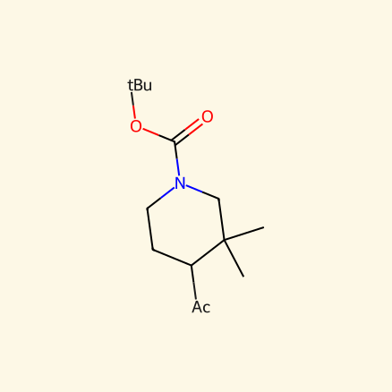 CC(=O)C1CCN(C(=O)OC(C)(C)C)CC1(C)C